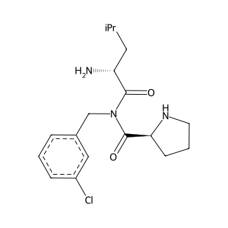 CC(C)C[C@@H](N)C(=O)N(Cc1cccc(Cl)c1)C(=O)[C@@H]1CCCN1